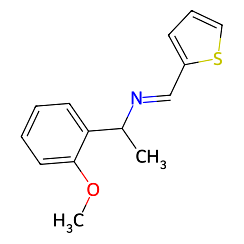 COc1ccccc1C(C)N=Cc1cccs1